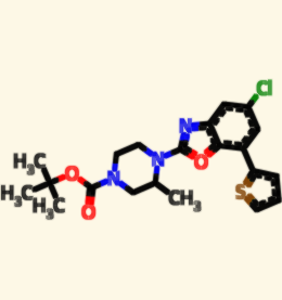 CC1CN(C(=O)OC(C)(C)C)CCN1c1nc2cc(Cl)cc(-c3cccs3)c2o1